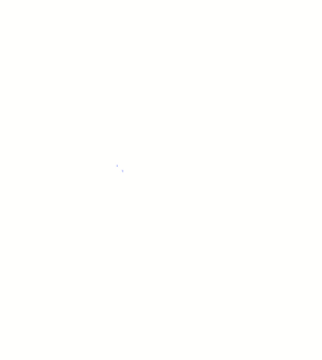 CN(C)c1ccccc1.OCl